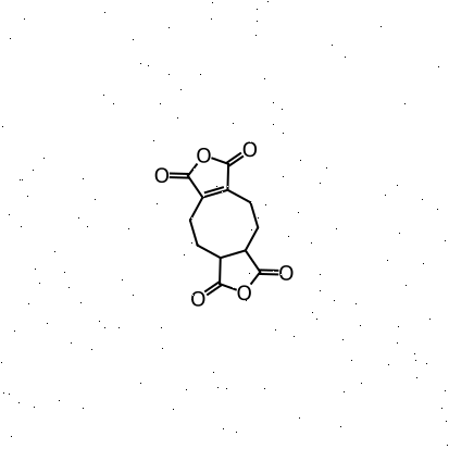 O=C1OC(=O)C2=C1CCC1C(=O)OC(=O)C1CC2